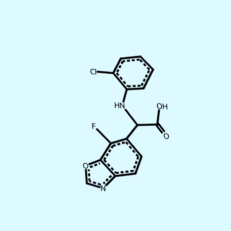 O=C(O)C(Nc1ccccc1Cl)c1ccc2ncoc2c1F